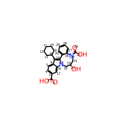 O=C(O)c1ccc2c(C3CCCCC3)c3n(c2c1)CC(O)CN(C(=O)O)c1ccccc1-3